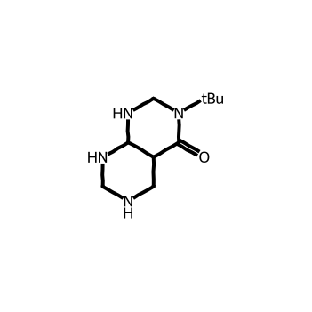 CC(C)(C)N1CNC2NCNCC2C1=O